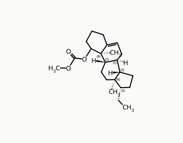 CC[C@H]1CC[C@H]2[C@@H]3CC=C4CCCC(OC(=O)OC)[C@]4(C)[C@H]3CC[C@]12C